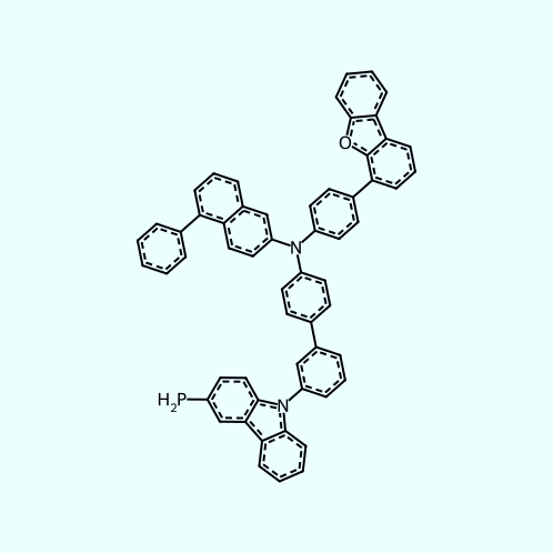 Pc1ccc2c(c1)c1ccccc1n2-c1cccc(-c2ccc(N(c3ccc(-c4cccc5c4oc4ccccc45)cc3)c3ccc4c(-c5ccccc5)cccc4c3)cc2)c1